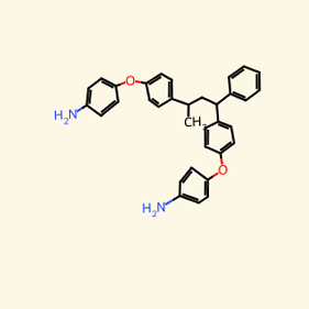 CC(CC(c1ccccc1)c1ccc(Oc2ccc(N)cc2)cc1)c1ccc(Oc2ccc(N)cc2)cc1